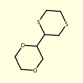 C1COC(C2CSCCS2)CO1